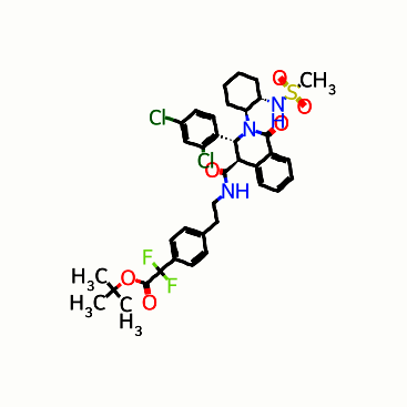 CC(C)(C)OC(=O)C(F)(F)c1ccc(CCNC(=O)[C@@H]2c3ccccc3C(=O)N([C@H]3CCCC[C@@H]3NS(C)(=O)=O)[C@H]2c2ccc(Cl)cc2Cl)cc1